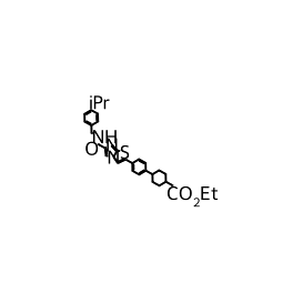 CCOC(=O)CC1CCC(c2ccc(-c3cn4cc(C(=O)NCc5ccc(C(C)C)cc5)nc4s3)cc2)CC1